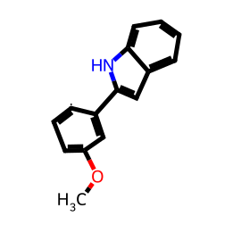 COc1cc[c]c(-c2cc3ccccc3[nH]2)c1